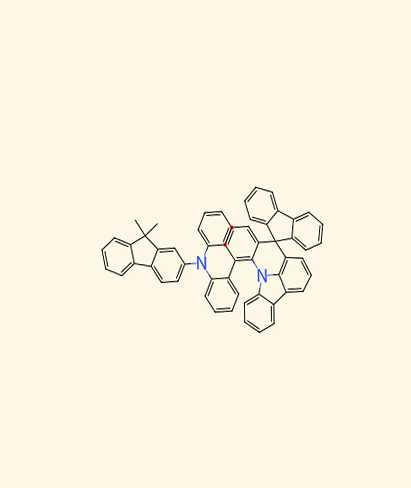 CC1(C)c2ccccc2-c2ccc(N(c3ccccc3)c3ccccc3-c3cccc4c3-n3c5ccccc5c5cccc(c53)C43c4ccccc4-c4ccccc43)cc21